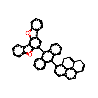 C1=Cc2ccc3ccc(-c4c5ccccc5c(-c5cc6c7ccccc7oc6c6c5oc5ccccc56)c5ccccc45)c4c3c2C(=CC4)C1